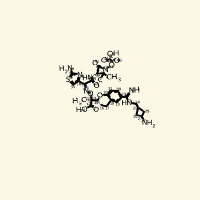 CC1(C)[C@H](NC(=O)/C(=N\O[C@](C)(C(=O)O)[C@H]2CCc3cc(C(=N)NCC4CC(N)C4)ccc3O2)c2csc(N)n2)C(=O)N1OS(=O)(=O)O